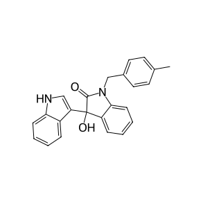 Cc1ccc(CN2C(=O)C(O)(c3c[nH]c4ccccc34)c3ccccc32)cc1